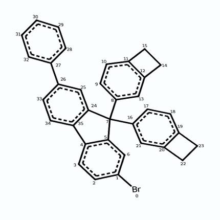 Brc1ccc2c(c1)C(c1ccc3c(c1)CC3)(c1ccc3c(c1)CC3)c1cc(-c3ccccc3)ccc1-2